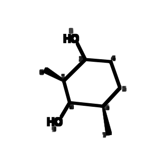 C[C@H]1C(O)CC[C@@H](C)C1O